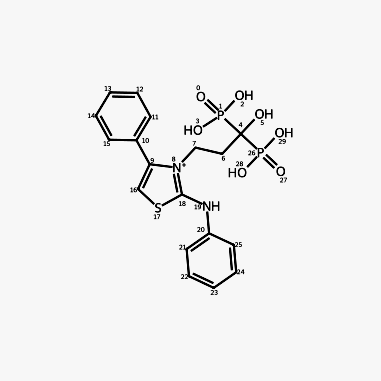 O=P(O)(O)C(O)(CC[n+]1c(-c2ccccc2)csc1Nc1ccccc1)P(=O)(O)O